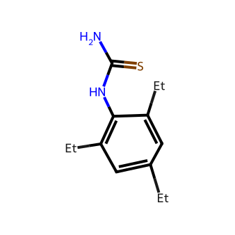 CCc1cc(CC)c(NC(N)=S)c(CC)c1